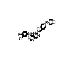 Fc1ccc(Nc2ncnc3cnc(NCC4CCN(CN5CCOCC5)CC4)nc23)cc1Cl